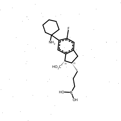 NC1(c2cc3c(cc2F)C[C@H](CCCB(O)O)[C@@H]3C(=O)O)CCCCC1